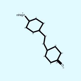 CCCCCCCC1CCC(CCC2CCC(=O)CC2)CC1